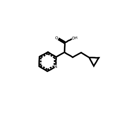 O=C(O)C(CCC1CC1)c1ccccn1